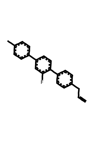 C=CCc1ccc(-c2ccc(-c3ccc(C)cc3)cc2F)cc1